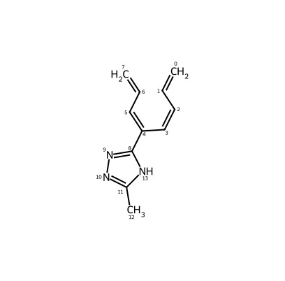 C=C/C=C\C(=C/C=C)c1nnc(C)[nH]1